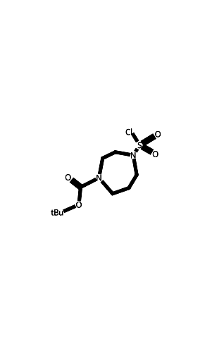 CC(C)(C)OC(=O)N1CCCN(S(=O)(=O)Cl)CC1